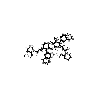 O=C(O)C1CCCCN1C(=O)/C=C/c1ccc(Sc2ccc(/C=C/C(=O)N3CCCCC3C(=O)O)c(-c3ccc4c(c3)CCOO4)c2[N+](=O)[O-])c([N+](=O)[O-])c1-c1ccc2c(c1)CCOO2